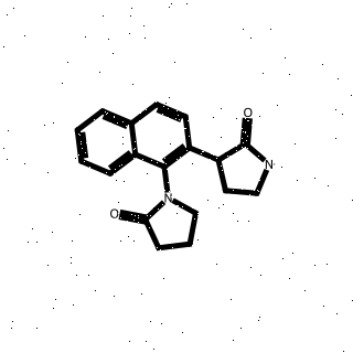 O=C1[N]CCC1c1ccc2ccccc2c1N1CCCC1=O